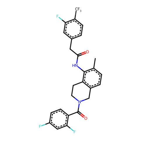 Cc1ccc2c(c1NC(=O)Cc1ccc(C(F)(F)F)c(F)c1)CCN(C(=O)c1ccc(F)cc1F)C2